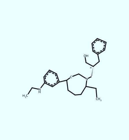 CCNc1cccc(C2CCCC(CC)N(C[C@H](CO)Cc3ccccc3)CC2)c1